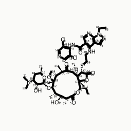 CC[C@H]1OC(=O)[C@H](C)[C@@H](O)[C@H](C)[C@@H](O[C@@H]2O[C@H](C)C[C@H](N(C)C)[C@H]2O)[C@](C)(OC)C[C@@H](C)C(=O)[C@H](C)[C@H]2[C@H](SCCNc3c(C(=O)Nc4c(Cl)cncc4Cl)cnc4c3cnn4CC)C(=O)O[C@@]21C